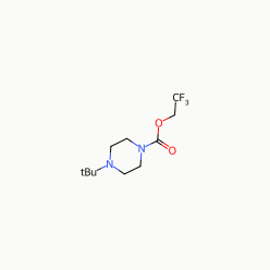 CC(C)(C)N1CCN(C(=O)OCC(F)(F)F)CC1